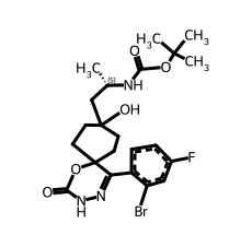 C[C@@H](CC1(O)CCC2(CC1)OC(=O)NN=C2c1ccc(F)cc1Br)NC(=O)OC(C)(C)C